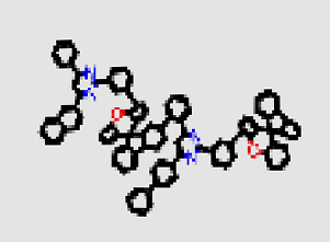 C1=CC2c3ccccc3C3(c4ccccc4Oc4c(-c5cccc(-c6nc(-c7ccc(-c8ccccc8)cc7)cc(-c7ccccc7C7=CC8C(C=C7)c7ccccc7C87c8ccccc8Oc8c(-c9cccc(-c%10nc(-c%11ccccc%11)cc(-c%11ccc%12ccccc%12c%11)n%10)c9)cccc87)n6)c5)cccc43)C2CC1